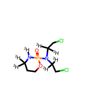 [2H]N1C([2H])([2H])CCOP1(=O)N(C([2H])([2H])CCl)C([2H])([2H])CCl